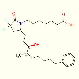 C[C@@H](CCCCCc1ccccc1)[C@H](O)CCC1CC(F)(F)C(=O)N1CCCCCCC(=O)O